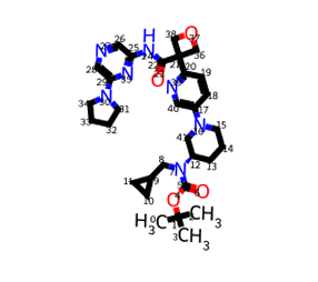 CC(C)(C)OC(=O)N(CC1CC1)[C@@H]1CCCN(c2ccc(C3(C(=O)Nc4cncc(N5CCCC5)n4)COC3)nc2)C1